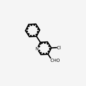 O=Cc1cnc(-c2ccccc2)cc1Cl